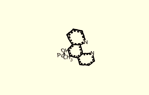 CO.[Pd].c1cnc2c(c1)ccc1cccnc12